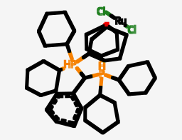 [Cl][Ru][Cl].c1ccc(C([PH](C2CCCCC2)(C2CCCCC2)C2CCCCC2)[PH](C2CCCCC2)(C2CCCCC2)C2CCCCC2)cc1